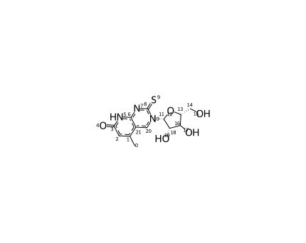 Cc1cc(=O)[nH]c2nc(=S)n([C@@H]3O[C@H](CO)C(O)[C@@H]3O)cc12